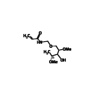 C=CC(=O)NCOCC(OC)C(O)[C@@H](C)OC